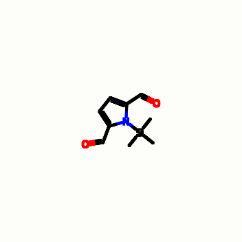 C[Si](C)(C)n1c(C=O)ccc1C=O